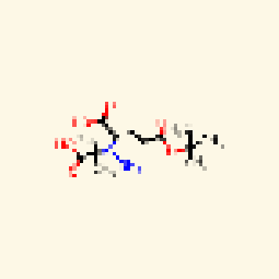 CC(C)(C)OC(=O)CC[C@@H](C(=O)O)N(N)C(C)(C)C(=O)O